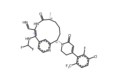 C[C@@H]1CCC[C@H](N2CCC(c3c(C(F)(F)F)ccc(Cl)c3F)=CC2=O)c2cc(ccn2)/C(NC(F)F)=C(/C=N)NC1=O